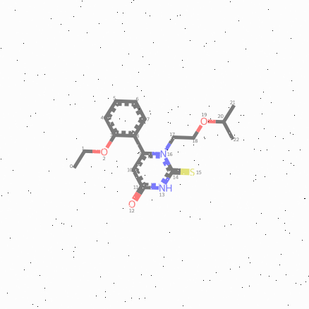 CCOc1ccccc1-c1cc(=O)[nH]c(=S)n1CCOC(C)C